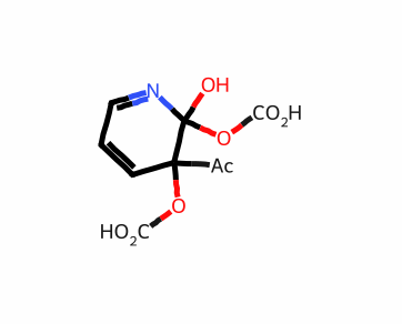 CC(=O)C1(OC(=O)O)C=CC=NC1(O)OC(=O)O